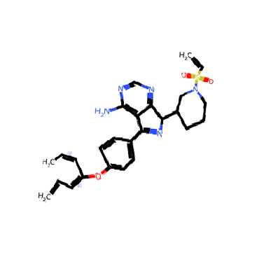 C=C/C=C(\C=C/C)Oc1ccc(C2=NC(C3CCCN(S(=O)(=O)C=C)C3)c3ncnc(N)c32)cc1